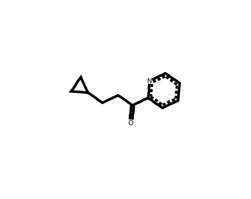 O=C(CCC1CC1)c1ccccn1